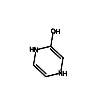 OC1=CNC=CN1